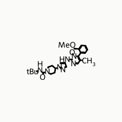 COC(=O)c1ccccc1-c1nc(Nc2cnn(C3CCN(C(=O)NC(C)(C)C)CC3)c2)ncc1C